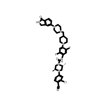 C[C@@H]1CN(c2ccc(C#N)c(Cl)c2)[C@@H](C)CN1C(=O)Nc1cc(F)c(N2CCC(CN3CCN(c4ccc5c(c4)CNC5=O)CC3)CC2)cc1F